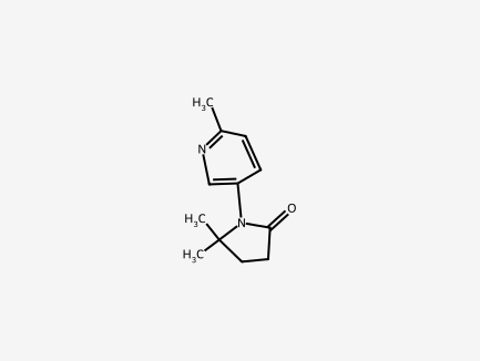 Cc1ccc(N2C(=O)CCC2(C)C)cn1